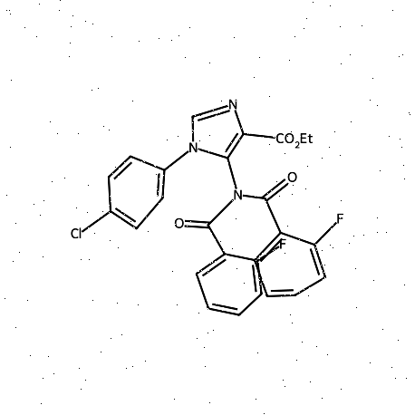 CCOC(=O)c1ncn(-c2ccc(Cl)cc2)c1N(C(=O)c1ccccc1F)C(=O)c1ccccc1F